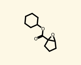 O=C(OC1CCCCC1)C12CCCC1O2